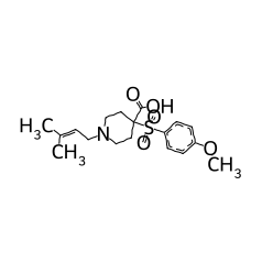 COc1ccc(S(=O)(=O)C2(C(=O)O)CCN(CC=C(C)C)CC2)cc1